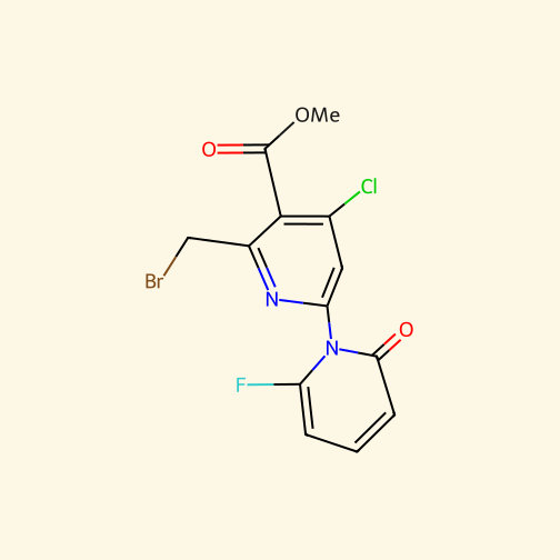 COC(=O)c1c(Cl)cc(-n2c(F)cccc2=O)nc1CBr